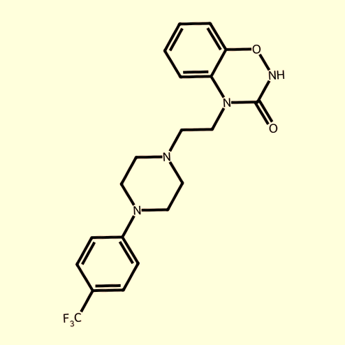 O=C1NOc2ccccc2N1CCN1CCN(c2ccc(C(F)(F)F)cc2)CC1